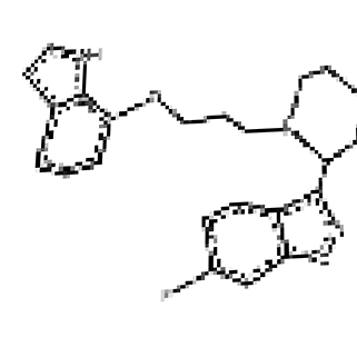 Fc1ccc2c(C3CCCCN3CCCOc3cccc4cc[nH]c34)noc2c1